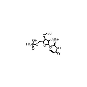 CCC(C)OC1C(COP(=O)(O)O)OC(n2ccc(=O)[nH]c2=O)C1OC